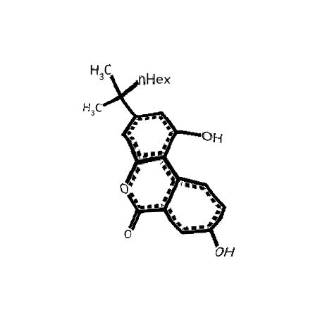 CCCCCCC(C)(C)c1cc(O)c2c(c1)oc(=O)c1cc(O)ccc12